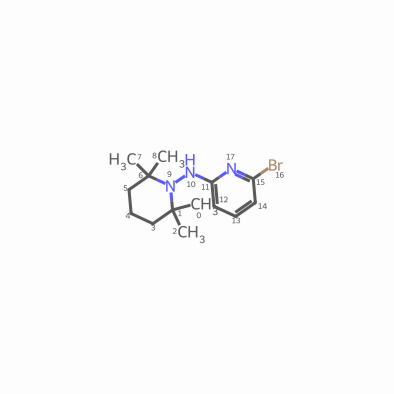 CC1(C)CCCC(C)(C)N1Nc1cccc(Br)n1